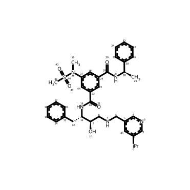 CC(C)c1cncc(CNC[C@@H](O)[C@H](Cc2ccccc2)NC(=O)c2cc(C(=O)N[C@H](C)c3ccccc3)cc(N(C)S(C)(=O)=O)c2)c1